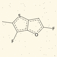 Cc1sc2cc(F)oc2c1F